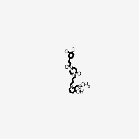 COCC1C(O)CCCN1CCCCN1CCN(C(=O)/C=C/c2ccc(Cl)c(Cl)c2)CCC1=O